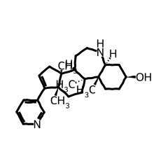 C[C@]12CC[C@H](O)C[C@@H]1NCC[C@@H]1[C@]2(C)CC[C@]2(C)C(c3cccnc3)=CC[C@@]12C